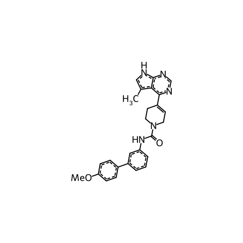 COc1ccc(-c2cccc(NC(=O)N3CC=C(c4ncnc5[nH]cc(C)c45)CC3)c2)cc1